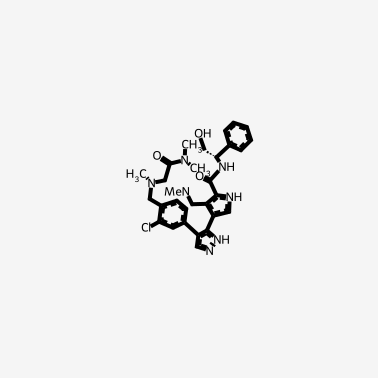 CNCc1c(-c2[nH]ncc2-c2ccc(CN(C)CC(=O)N(C)C)c(Cl)c2)c[nH]c1C(=O)N[C@H](CO)c1ccccc1